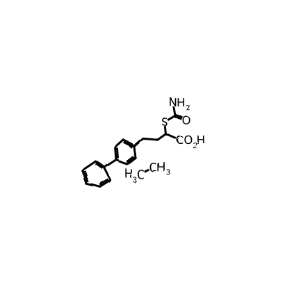 CC.NC(=O)SC(CCc1ccc(-c2ccccc2)cc1)C(=O)O